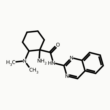 CN(C)C1CCCCC1(N)C(=O)Nc1ncc2ccccc2n1